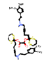 COc1ccc(CCN(C)CC#CCCC2(OC(=O)C(=O)OC3(CCC#CCN(C)CCc4ccc(OC)c(OC)c4)SCCCS3)SCCCS2)cc1OC